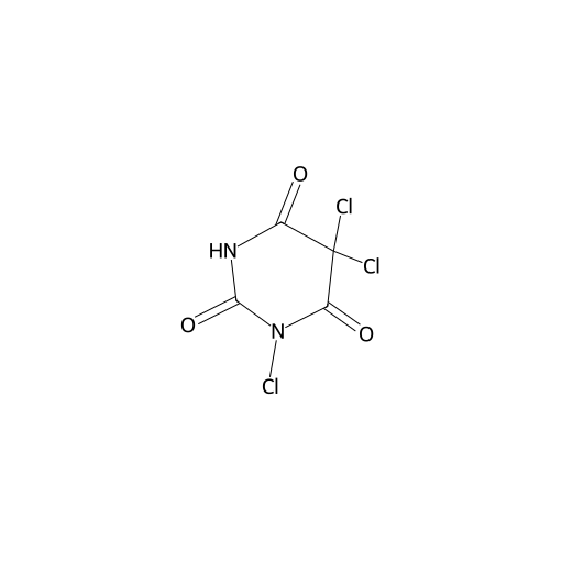 O=C1NC(=O)C(Cl)(Cl)C(=O)N1Cl